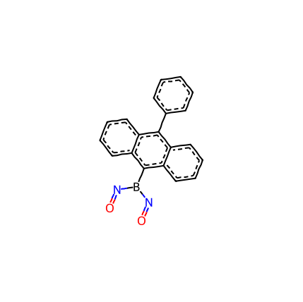 O=NB(N=O)c1c2ccccc2c(-c2ccccc2)c2ccccc12